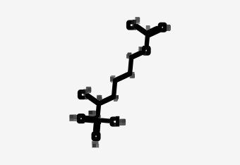 O=C(Cl)OCCCCC(Cl)S(=O)(=O)Cl